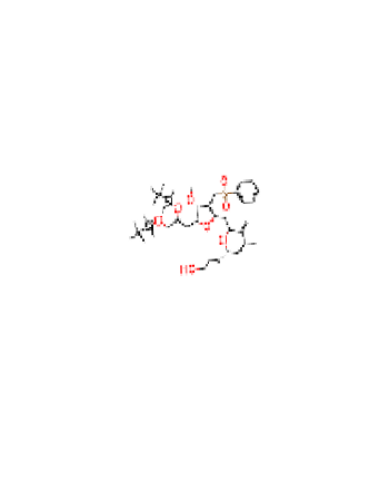 C=C1C(C)C[C@H](CCCO)OC1CC1OC(CC(CO[Si](C)(C)C(C)(C)C)O[Si](C)(C)C(C)(C)C)[C@H](OC)C1CS(=O)(=O)c1ccccc1